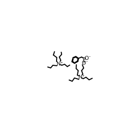 CCCC[N+](CCCC)(CCCC)CCCC.CCCC[N+](CCCC)(CCCC)CCCC.[O-]P([O-])Cc1ccccc1